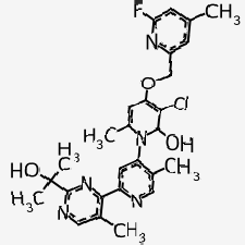 CC1=CC(OCc2cc(C)cc(F)n2)=C(Cl)C(O)N1c1cc(-c2nc(C(C)(C)O)ncc2C)ncc1C